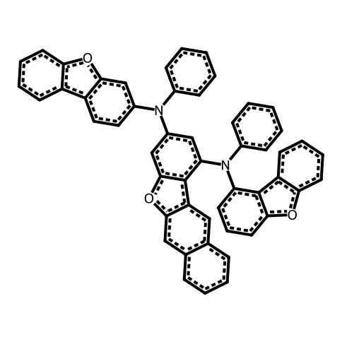 c1ccc(N(c2ccc3c(c2)oc2ccccc23)c2cc(N(c3ccccc3)c3cccc4oc5ccccc5c34)c3c(c2)oc2cc4ccccc4cc23)cc1